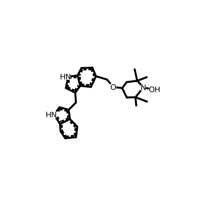 CC1(C)CC(OCc2ccc3[nH]cc(Cc4c[nH]c5ccccc45)c3c2)CC(C)(C)N1O